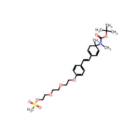 CN(C(=O)OC(C)(C)C)C1(C)C=CC(/C=C/c2ccc(OCCOCCOCCOS(C)(=O)=O)cc2)=CC1